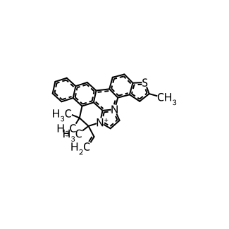 C=CC1(C)[n+]2ccn3c4c5cc(C)sc5ccc4c4cc5ccccc5c(c4c32)C1(C)C